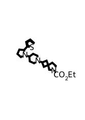 CCOC(=O)N1CCC2(CC(N3CCC(N4CCCC4c4cccs4)CC3)C2)C1